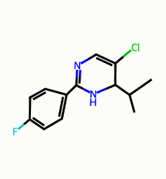 CC(C)C1NC(c2ccc(F)cc2)=NC=C1Cl